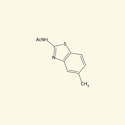 CC(=O)Nc1nc2cc(C)ccc2s1